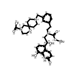 CC(C)(C)OC(=O)N(CCc1cccc(CN2CCC3(CC2)CN(C(=O)C(F)(F)F)CCO3)c1)C[C@H](O)c1ccc(O)c2[nH]c(=O)ccc12